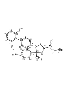 CC(C)(C)OC(=O)N1C[C@@H](c2ccc(-c3c(F)cccc3F)cc2)[C@@](C)(c2ccc(F)cc2)C1